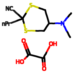 CCCC1(C#N)SCC(N(C)C)CS1.O=C(O)C(=O)O